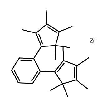 CC1=C(C)C(C)(C)C(c2ccccc2C2=C(C)C(C)=C(C)C2(C)C)=C1C.[Zr]